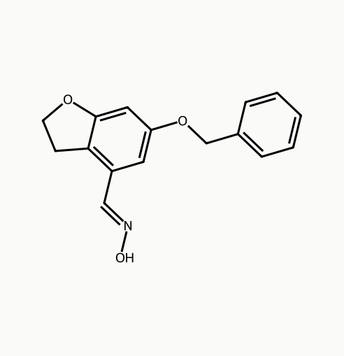 O/N=C/c1cc(OCc2ccccc2)cc2c1CCO2